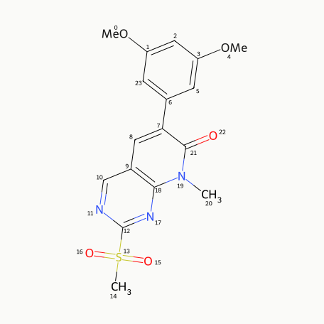 COc1cc(OC)cc(-c2cc3cnc(S(C)(=O)=O)nc3n(C)c2=O)c1